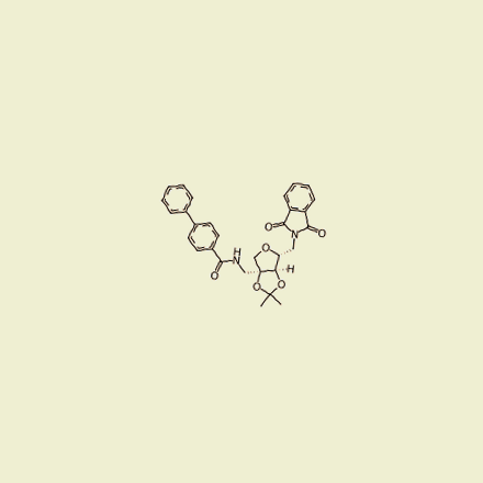 CC1(C)O[C@@H]2[C@@H](CN3C(=O)c4ccccc4C3=O)OC[C@]2(CNC(=O)c2ccc(-c3ccccc3)cc2)O1